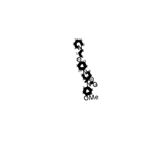 COc1ccc(N2CC3(CCN(c4ccc(OCCCN5CCCCC5)cc4)CC3)OC2=O)cc1